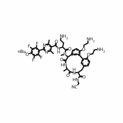 CCCCOc1c(F)c(F)c(-c2nc(C)c(C(=O)NC(CCN)C(=O)N(C)C3C(=O)NC(C)C(=O)NC(C(=O)NCC#N)Cc4ccc(OCCN)c(c4)-c4cc3ccc4OCCN)c(C)n2)c(F)c1F